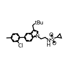 Cc1ccc(-c2ccc3c(c2)c(CC(C)(C)C)cn3CCNS(=O)(=O)C2CC2)c(Cl)c1